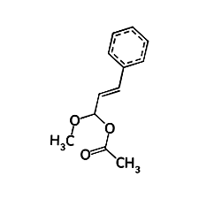 COC(C=Cc1ccccc1)OC(C)=O